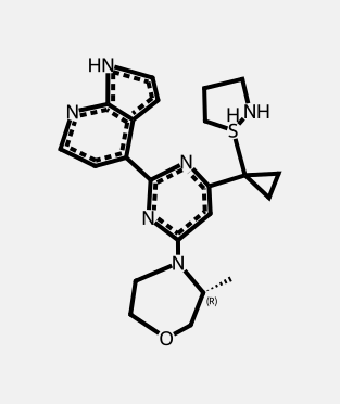 C[C@@H]1COCCN1c1cc(C2([SH]3CCCN3)CC2)nc(-c2ccnc3[nH]ccc23)n1